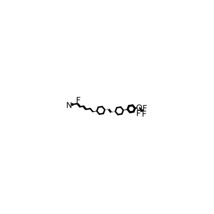 N#CC(F)=CC=CCC[C@H]1CC[C@H](C=C[C@H]2CC[C@H](c3ccc(OC(F)(F)F)cc3)CC2)CC1